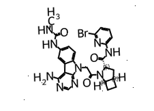 CNC(=O)Nc1ccc2c(c1)c1c(N)ncnc1n2CC(=O)N1[C@@H]2CC[C@@H]2C[C@H]1C(=O)Nc1cccc(Br)n1